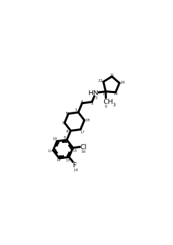 CC1(NCCC2CCC(c3cccc(F)c3Cl)CC2)CCCC1